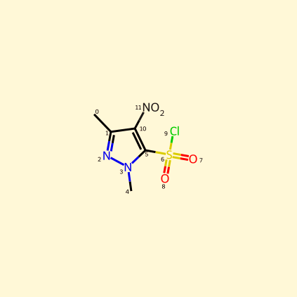 Cc1nn(C)c(S(=O)(=O)Cl)c1[N+](=O)[O-]